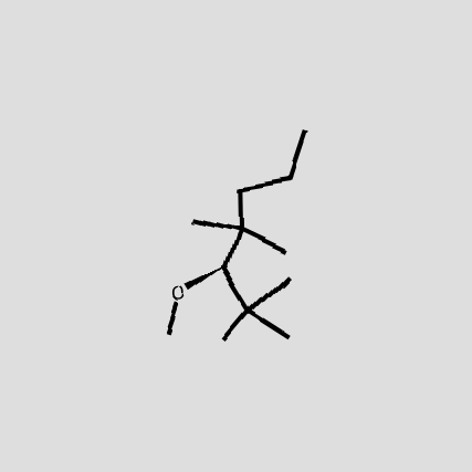 CCCC(C)(C)[C@H](OC)C(C)(C)C